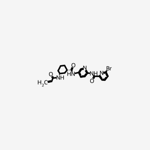 C=CC(=O)N[C@@H]1CCC[C@H](C(=O)Nc2ccc(NC(=O)c3cccc(Br)n3)nc2)C1